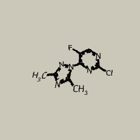 Cc1nc(C)n(-c2nc(Cl)ncc2F)n1